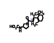 CC1=C(/C=C/C(=O)N2CCC(NC(=O)O)C2)C(C)(C)CCC1